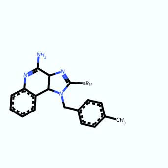 CCCCC1=NC2C(N)=Nc3ccccc3C2N1Cc1ccc(C)cc1